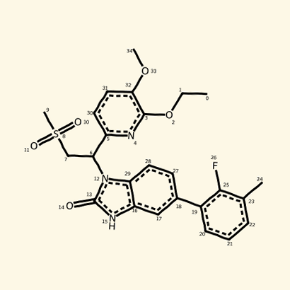 CCOc1nc(C(CS(C)(=O)=O)n2c(=O)[nH]c3cc(-c4cccc(C)c4F)ccc32)ccc1OC